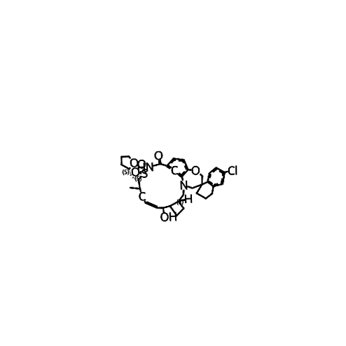 CC1CC=CC(O)C2CC[C@H]2CN2CC3(CCCc4cc(Cl)ccc43)COc3ccc(cc32)C(=O)NS(=O)(=O)[C@H]1C[C@@H]1CCCO1